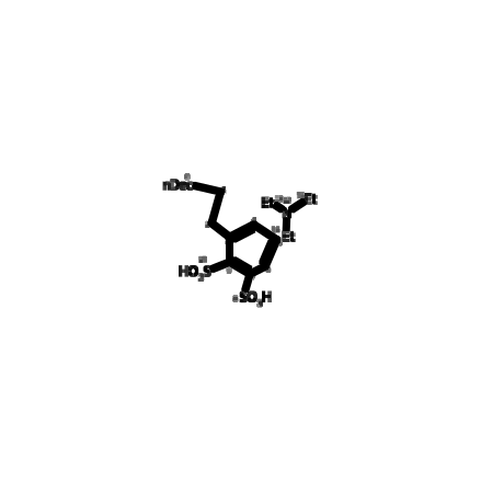 CCCCCCCCCCCCc1cccc(S(=O)(=O)O)c1S(=O)(=O)O.CCN(CC)CC